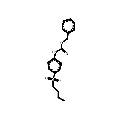 CCCCS(=O)(=O)c1ccc(NC(=O)OCc2cccnc2)cc1